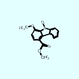 COC(=O)c1ccc(OC)c2c1c1ccccc1n2Cl